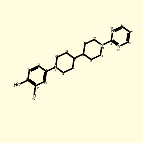 N#Cc1ccc(N2CCC(C3CCN(c4ncccn4)CC3)CC2)cc1Cl